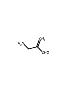 C=C(C=O)CN